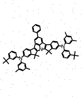 Cc1cc(C)cc(N(c2cccc(C(C)(C)C)c2)c2ccc3c(c2)C(C)(C)c2c-3c3cc(-c4ccccc4)cc4c5c(n2c34)C(C)(C)c2cc(N(c3cc(C)cc(C)c3)c3cccc(C(C)(C)C)c3)ccc2-5)c1